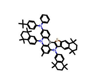 Cc1cc2c3c(c1)N(c1ccc4c(c1)C(C)(C)CCC4(C)C)c1c(sc4cc5c(cc14)C(C)(C)CCC5(C)C)B3c1ccc(N(c3ccccc3)c3ccc(C(C)(C)C)cc3)cc1N2c1ccc2c(c1)C(C)(C)CCC2(C)C